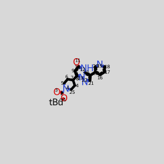 CC(C)(C)OC(=O)N1CCC(c2cc(=O)[nH]c3c(-c4cccnc4)cnn23)CC1